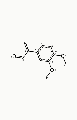 C=C(C=O)c1ccc(OC)c(OC)c1